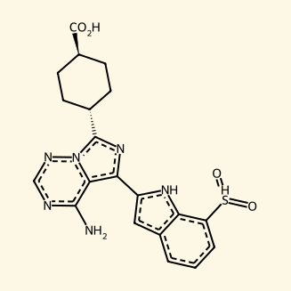 Nc1ncnn2c1c(-c1cc3cccc([SH](=O)=O)c3[nH]1)nc2[C@H]1CC[C@H](C(=O)O)CC1